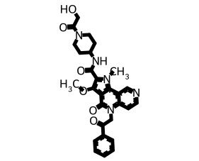 COc1c(C(=O)NC2CCN(C(=O)CO)CC2)n(C)c2c1c(=O)n(CC(=O)c1ccccc1)c1ccncc21